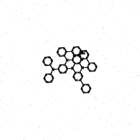 CC(C)(C)c1cc2c3c(c1)N(c1ccccc1-c1ccccn1)c1cc(N(c4ccccc4)c4ccccc4)ccc1B3c1ccc(-c3ccccc3)cc1N2c1ccccc1-c1ccccn1